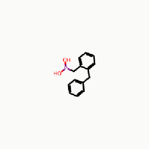 OP(O)Cc1ccccc1Cc1ccccc1